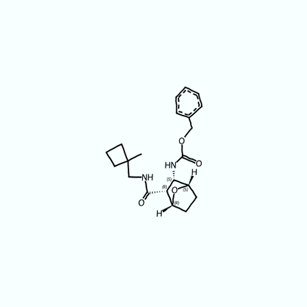 CC1(CNC(=O)[C@@H]2[C@H](NC(=O)OCc3ccccc3)[C@@H]3CC[C@H]2O3)CCC1